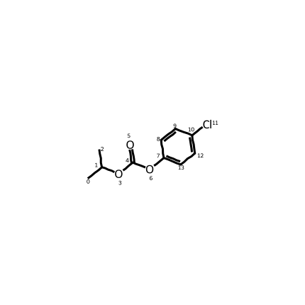 CC(C)OC(=O)Oc1ccc(Cl)cc1